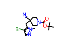 Cn1ncc(Br)c1CC1(C#N)CCN(C(=O)OC(C)(C)C)CC1